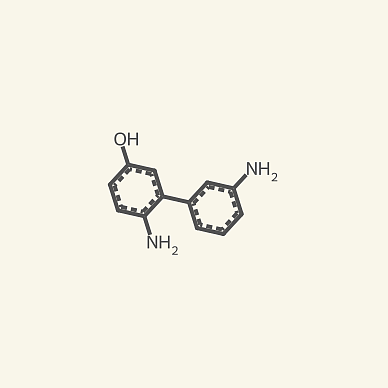 Nc1cccc(-c2cc(O)ccc2N)c1